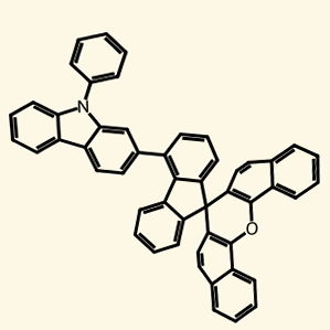 c1ccc(-n2c3ccccc3c3ccc(-c4cccc5c4-c4ccccc4C54c5ccc6ccccc6c5Oc5c4ccc4ccccc54)cc32)cc1